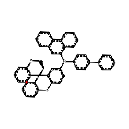 c1ccc(-c2ccc(N(c3ccc4c(c3)C3(c5ccccc5O4)c4ccccc4Sc4ccccc43)c3cc4ccccc4c4ccccc34)cc2)cc1